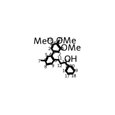 COc1cc(-c2[c]c(C)ccc2CCC(O)c2ccccc2)cc(OC)c1OC